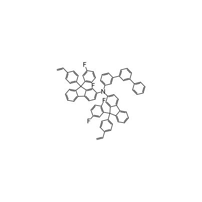 C=Cc1ccc(C2(c3cc(F)ccc3F)c3ccccc3-c3ccc(N(c4cccc(-c5cccc(-c6ccccc6)c5)c4)c4ccc5c(c4)C(c4ccc(C=C)cc4)(c4cc(F)ccc4F)c4ccccc4-5)cc32)cc1